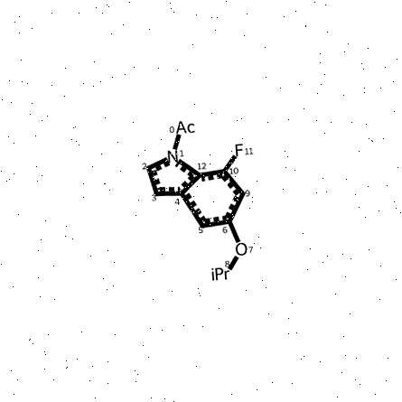 CC(=O)n1ccc2cc(OC(C)C)cc(F)c21